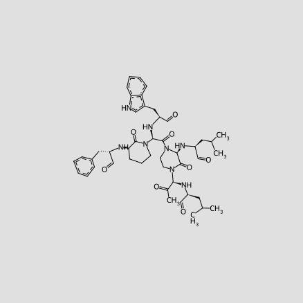 CC(=O)[C@H](N[C@H](C=O)CC(C)C)N1CCN(C(=O)[C@H](N[C@H](C=O)Cc2c[nH]c3ccccc23)N2CCC[C@@H](N[C@H](C=O)Cc3ccccc3)C2=O)[C@@H](N[C@H](C=O)CC(C)C)C1=O